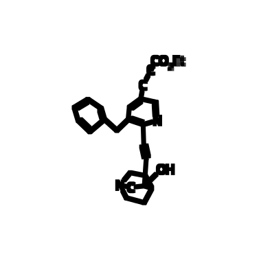 CCOC(=O)CCc1cnc(C#CC2(O)CN3CCC2CC3)c(Cc2ccccc2)c1